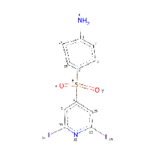 Nc1ccc(S(=O)(=O)c2cc(I)nc(I)c2)cc1